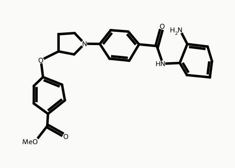 COC(=O)c1ccc(OC2CCN(c3ccc(C(=O)Nc4ccccc4N)cc3)C2)cc1